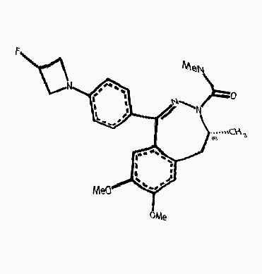 CNC(=O)N1N=C(c2ccc(N3CC(F)C3)cc2)c2cc(OC)c(OC)cc2C[C@H]1C